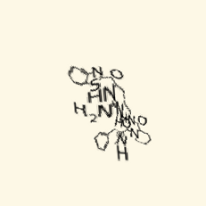 CN[C@H](Cc1ccccc1)C(=O)N1CCCCC1C(=O)NCCCC(NC(=N)N)C(=O)c1nc2ccccc2s1